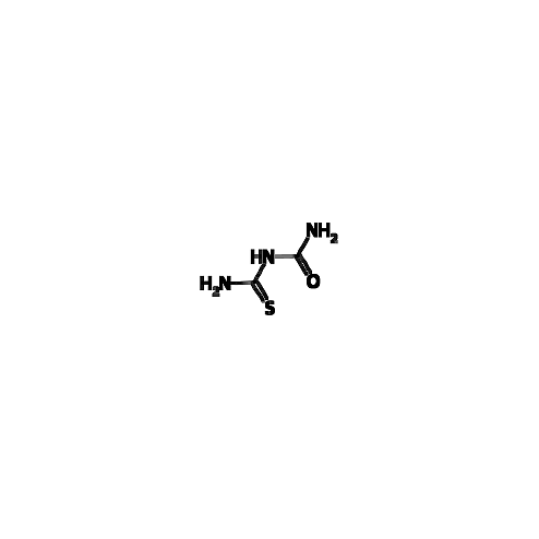 NC(=O)NC(N)=S